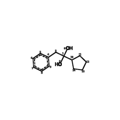 OC(O)(Cc1ccccc1)C1CCCC1